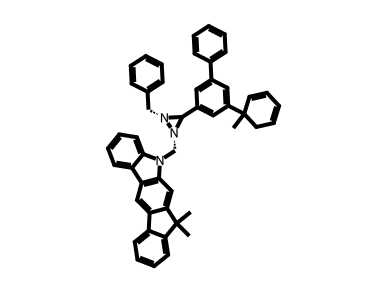 CC1(c2cc(-c3ccccc3)cc(C3[N@@](Cc4ccccc4)[N@@]3Cn3c4ccccc4c4cc5c(cc43)C(C)(C)c3ccccc3-5)c2)C=CC=CC1